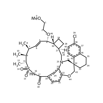 COCCO[C@H]1/C=C/[C@H](C)[C@H](C)[C@@H](C)S(=O)(=O)NC(=O)c2ccc3c(c2)N(C[C@@H]2CC[C@H]21)C[C@@]1(CCCc2cc(Cl)ccc21)CO3